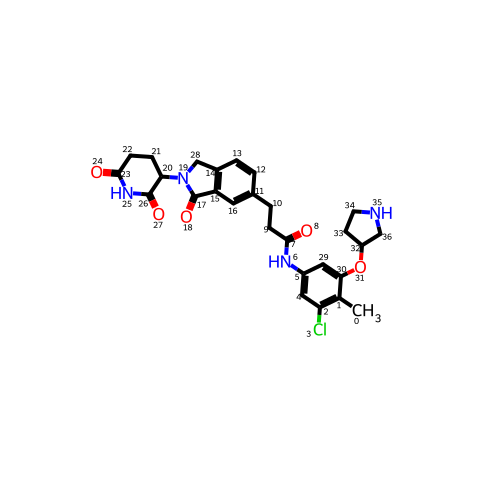 Cc1c(Cl)cc(NC(=O)CCc2ccc3c(c2)C(=O)N(C2CCC(=O)NC2=O)C3)cc1OC1CCNC1